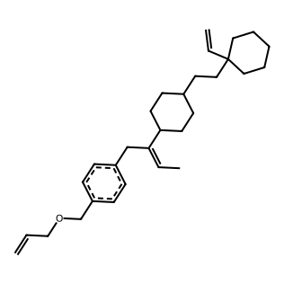 C=CCOCc1ccc(CC(=CC)C2CCC(CCC3(C=C)CCCCC3)CC2)cc1